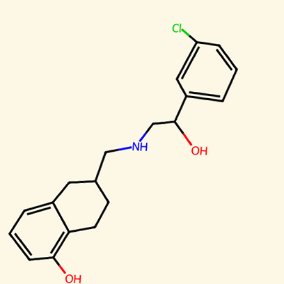 Oc1cccc2c1CCC(CNCC(O)c1cccc(Cl)c1)C2